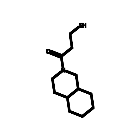 O=C(CCS)N1CCC2CCCCC2C1